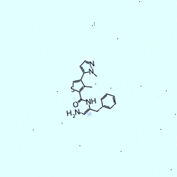 Cc1c(-c2ccnn2C)csc1C(=O)N/C(=C\N)Cc1ccccc1